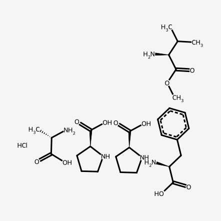 COC(=O)[C@@H](N)C(C)C.C[C@H](N)C(=O)O.Cl.N[C@@H](Cc1ccccc1)C(=O)O.O=C(O)[C@@H]1CCCN1.O=C(O)[C@@H]1CCCN1